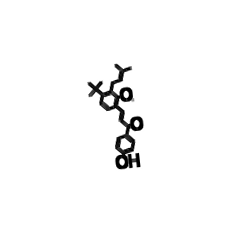 COc1c(/C=C/C(=O)c2ccc(O)cc2)ccc(C(C)(C)C)c1CC=C(C)C